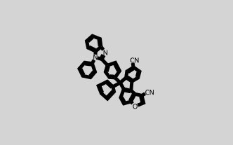 N#Cc1ccc2c(c1)C(c1ccccc1)(c1ccc(-c3nc4ccccc4n3-c3ccccc3)cc1)c1ccc3occ(C#N)c3c1-2